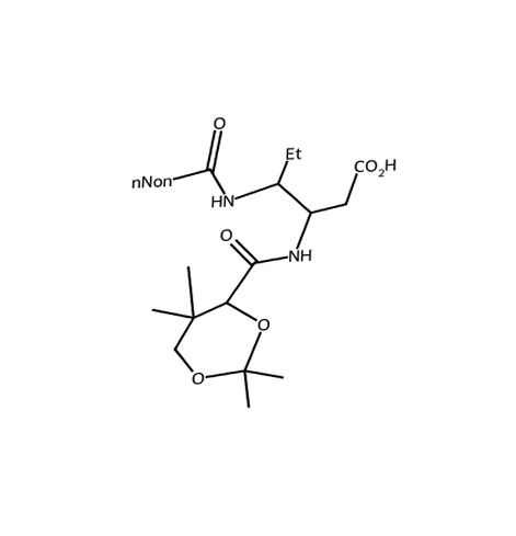 CCCCCCCCCC(=O)NC(CC)C(CC(=O)O)NC(=O)C1OC(C)(C)OCC1(C)C